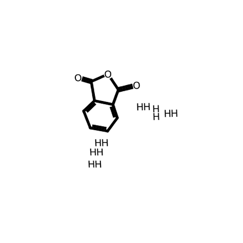 O=C1OC(=O)c2ccccc21.[HH].[HH].[HH].[HH].[HH].[HH]